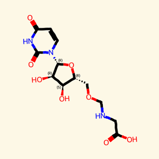 O=C(O)CNCOC[C@H]1O[C@@H](n2ccc(=O)[nH]c2=O)[C@H](O)[C@@H]1O